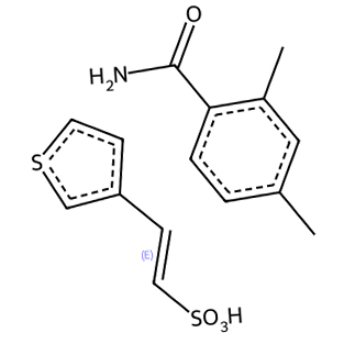 Cc1ccc(C(N)=O)c(C)c1.O=S(=O)(O)/C=C/c1ccsc1